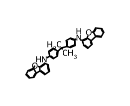 CC(C)(c1ccc(Nc2cccc3c2oc2ccccc23)cc1)c1ccc(Nc2cccc3c2oc2ccccc23)cc1